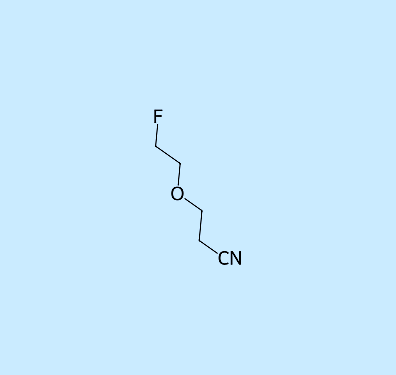 N#CCCOCCF